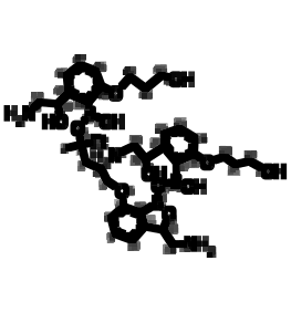 CCC(C)(CCCOc1cccc2c1B(OB(O)c1c(OCCCO)cccc1C(O)CN)OC2CN)OB(O)c1c(OCCCO)cccc1C(O)CN